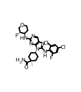 C[C@]1(C(N)=O)CC[C@H](n2c(Nc3c(F)cc(Cl)cc3Cl)nc3cnc(N[C@@H]4CCOC[C@H]4F)nc32)CC1